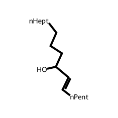 CCCCC/C=C/C(O)CCCCCCCCCC